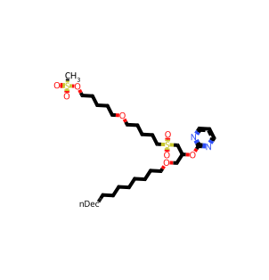 CCCCCCCCCCCCCCCCCCOCC(CS(=O)(=O)CCCCCOCCCCCOS(C)(=O)=O)Oc1ncccn1